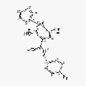 O=C(OCc1ccc(F)cc1)c1cc(Br)cc(-c2ccccc2)c1O